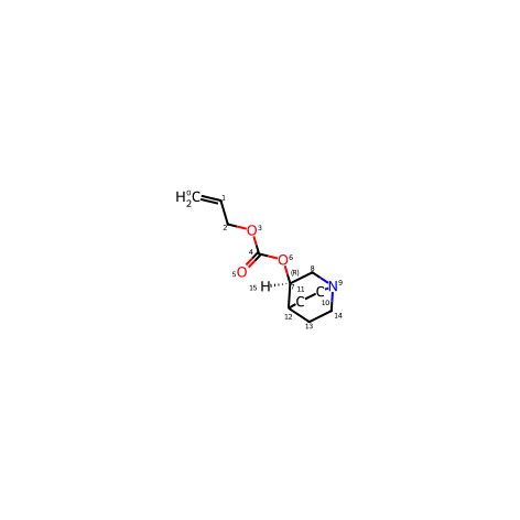 C=CCOC(=O)O[C@H]1CN2CCC1CC2